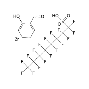 O=Cc1ccccc1O.O=S(=O)(O)C(F)(F)C(F)(F)C(F)(F)C(F)(F)C(F)(F)C(F)(F)C(F)(F)C(F)(F)F.[Zr]